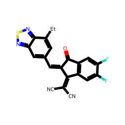 CCc1cc(/C=C2\C(=O)c3cc(F)c(F)cc3C2=C(C#N)C#N)cc2nsnc12